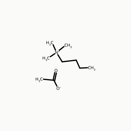 CC(=O)[O-].CCCC[N+](C)(C)C